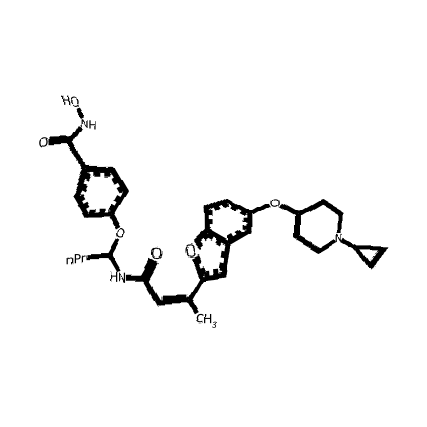 CCCC(NC(=O)/C=C(/C)c1cc2cc(OC3CCN(C4CC4)CC3)ccc2o1)Oc1ccc(C(=O)NO)cc1